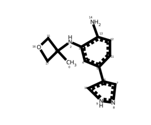 CC1(Nc2cc(-c3cn[nH]c3)ccc2N)COC1